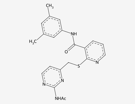 CC(=O)Nc1nccc(CSc2ncccc2C(=O)Nc2cc(C)cc(C)c2)n1